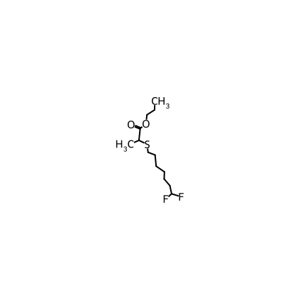 CCCOC(=O)C(C)SCCCCCCC(F)F